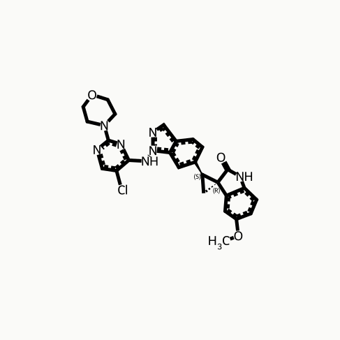 COc1ccc2c(c1)[C@]1(C[C@H]1c1ccc3cnn(Nc4nc(N5CCOCC5)ncc4Cl)c3c1)C(=O)N2